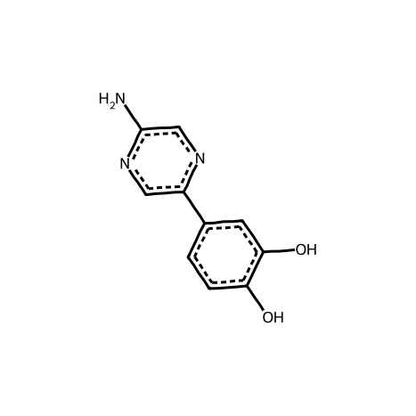 Nc1cnc(-c2ccc(O)c(O)c2)cn1